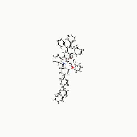 c1ccc(-c2c(-c3ccccc3)c3cc(-c4ccccc4N(c4ccc(-c5ccc(-c6ccc7ccccc7c6)cc5)cc4)c4cccc5c4oc4ccccc45)ccc3c3ccccc23)cc1